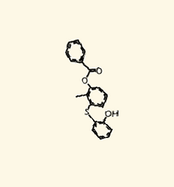 Cc1c(OC(=O)c2ccccc2)cccc1Sc1ccccc1O